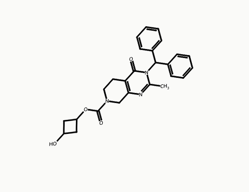 Cc1nc2c(c(=O)n1C(c1ccccc1)c1ccccc1)CCN(C(=O)OC1CC(O)C1)C2